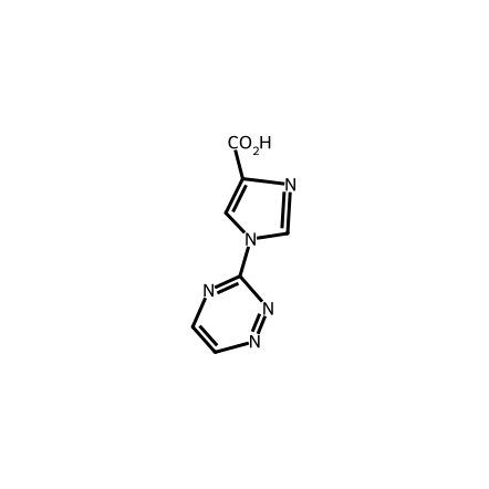 O=C(O)c1cn(-c2nccnn2)cn1